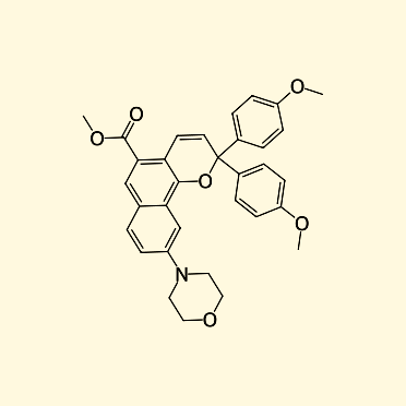 COC(=O)c1cc2ccc(N3CCOCC3)cc2c2c1C=CC(c1ccc(OC)cc1)(c1ccc(OC)cc1)O2